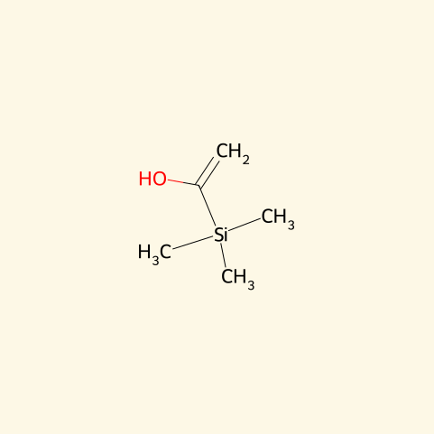 C=C(O)[Si](C)(C)C